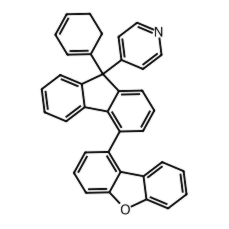 C1=CCCC(C2(c3ccncc3)c3ccccc3-c3c(-c4cccc5oc6ccccc6c45)cccc32)=C1